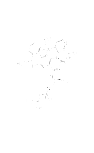 COc1cccc(CO)c1-c1c(F)cc2c(N3CCN(C(=O)OC(C)(C)C)C[C@@H]3C)nc(=O)n(-c3c(C)ccnc3C(C)C)c2c1F